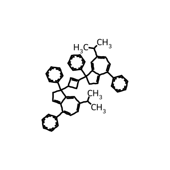 CC(C)C1=CC=C(c2ccccc2)C2=CCC(C3=CC(C4(c5ccccc5)CC=C5C(c6ccccc6)=CC=C(C(C)C)C=C54)C3)(c3ccccc3)C2=C1